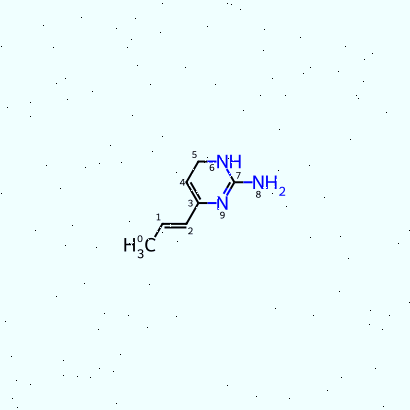 C/C=C/C1=CCNC(N)=N1